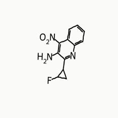 Nc1c(C2CC2F)nc2ccccc2c1[N+](=O)[O-]